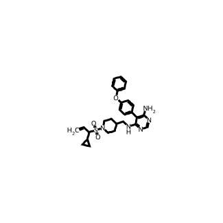 C=CC(C1CC1)S(=O)(=O)N1CCC(CNc2ncnc(N)c2-c2ccc(Oc3ccccc3)cc2)CC1